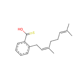 CC(C)=CCCC(C)=CCc1ccccc1C(O)=S